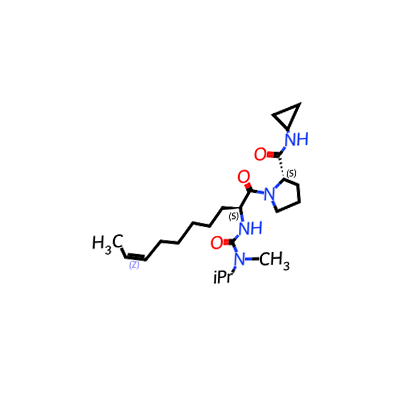 C/C=C\CCCCC[C@H](NC(=O)N(C)C(C)C)C(=O)N1CCC[C@H]1C(=O)NC1CC1